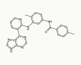 Cc1ccc(C(=O)Nc2ccc(C)c(Nc3ncccc3-c3ncnc4[nH]cnc34)c2)cc1